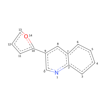 [c]1nc2ccccc2cc1-c1ccco1